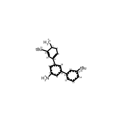 CC1CC=C(c2cc(N)cc(-c3cccc(C(C)(C)C)c3)c2)C=C1C(C)(C)C